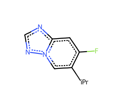 CC(C)c1cn2ncnc2cc1F